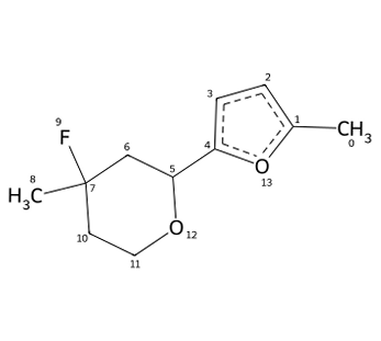 Cc1ccc(C2CC(C)(F)CCO2)o1